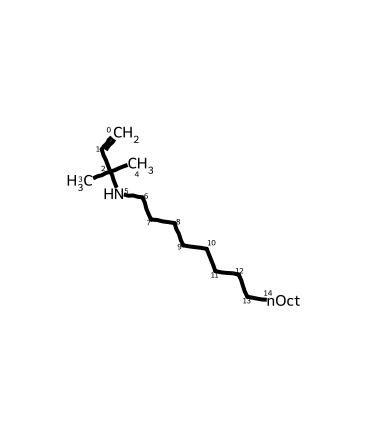 C=CC(C)(C)NCCCCCCCCCCCCCCCC